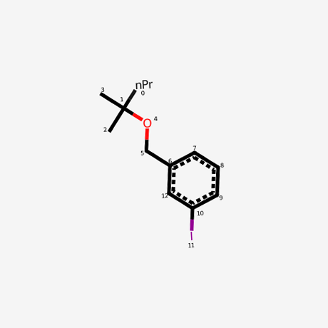 CCCC(C)(C)OCc1cccc(I)c1